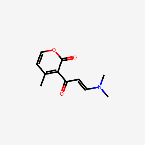 Cc1ccoc(=O)c1C(=O)C=CN(C)C